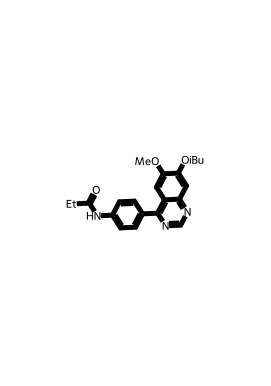 CCC(=O)Nc1ccc(-c2ncnc3cc(OCC(C)C)c(OC)cc23)cc1